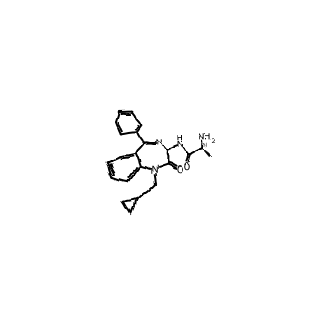 C[C@H](N)C(=O)NC1N=C(c2ccccc2)c2ccccc2N(CC2CC2)C1=O